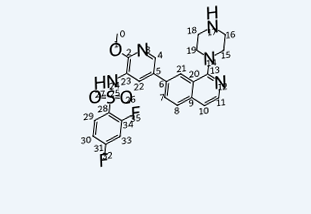 COc1ncc(-c2ccc3ccnc(N4CCNCC4)c3c2)cc1NS(=O)(=O)c1ccc(F)cc1F